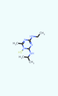 CCNC1=NC(NC(C)C)N(S)C(C)=N1